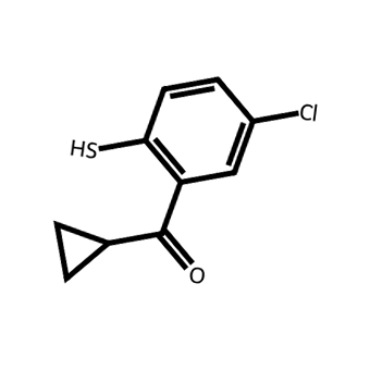 O=C(c1cc(Cl)ccc1S)C1CC1